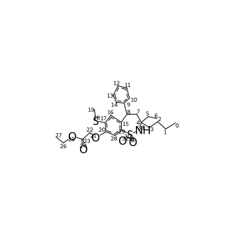 CCCCC1(CC)CC(c2ccccc2)c2cc(SC)c(OCC(=O)OCC)cc2S(=O)(=O)N1